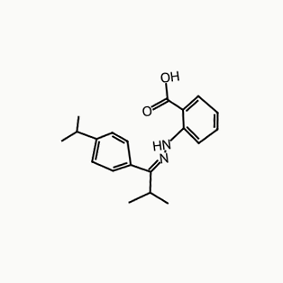 CC(C)C(=NNc1ccccc1C(=O)O)c1ccc(C(C)C)cc1